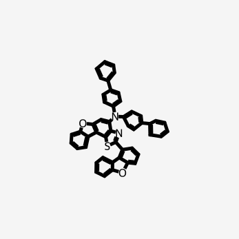 c1ccc(-c2ccc(N(c3ccc(-c4ccccc4)cc3)c3cc4oc5ccccc5c4c4sc(-c5cccc6oc7ccccc7c56)nc34)cc2)cc1